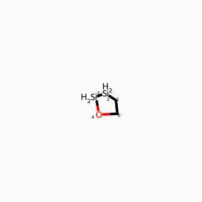 C1C[SiH2][SiH2]O1